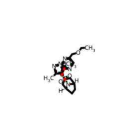 CCOCc1cnc(OC2C[C@H]3CC[C@@H](C2)N3S(=O)(=O)c2c(C)n[nH]c2C)cn1